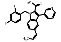 C/C=C\c1ccc2c(c1)c(-c1cccnc1)c(C(=O)CCC)n2Cc1ccc(F)cc1F